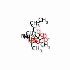 CCCCC(CC)CCC(C)C(C(=O)[O-])C(C(=O)[O-])(C(C)CCC(CC)CCCC)S(=O)(=O)O.[Na+].[Na+]